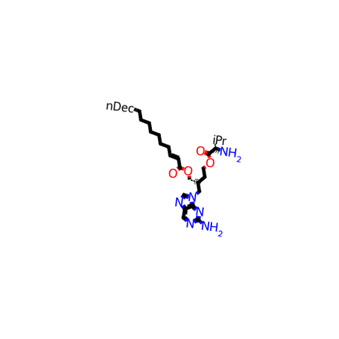 CCCCCCCCCCCCCCCCCC=CC(=O)OC[C@H](CCOC(=O)[C@@H](N)C(C)C)Cn1cnc2cnc(N)nc21